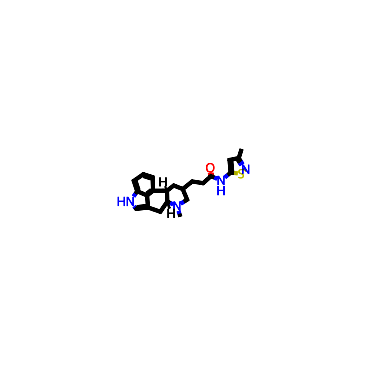 Cc1cc(NC(=O)CCC2C[C@@H]3c4cccc5[nH]cc(c45)C[C@H]3N(C)C2)sn1